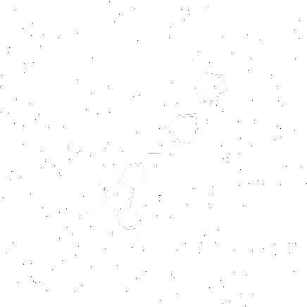 CCCCn1c(=O)n2nc(COc3ccc(-c4cccc(C#N)c4)cc3)nc2c2[nH]c(Br)nc21